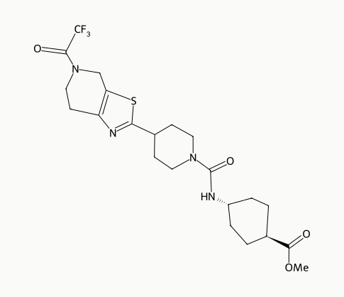 COC(=O)[C@H]1CC[C@H](NC(=O)N2CCC(c3nc4c(s3)CN(C(=O)C(F)(F)F)CC4)CC2)CC1